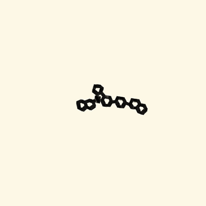 c1ccc2cc(-c3ccc(-c4ccc5c(c4)c4ccccc4n5-c4ccc5ccccc5c4)cc3)ccc2c1